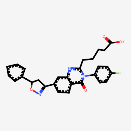 O=C(O)CCCCc1nc2cc(C3=NOC(c4ccccc4)C3)ccc2c(=O)n1-c1ccc(F)cc1